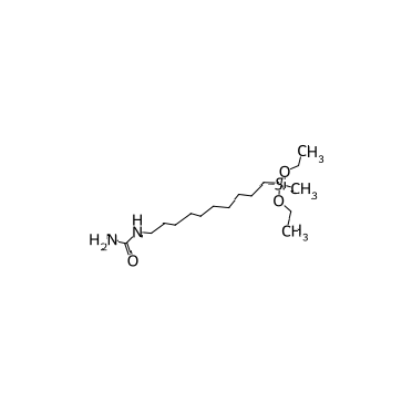 CCO[Si](C)(CCCCCCCCCCNC(N)=O)OCC